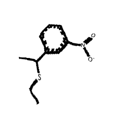 CCSC(C)c1cccc([N+](=O)[O-])c1